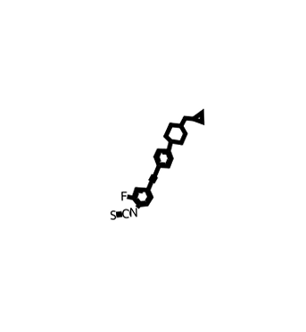 Fc1cc(C#Cc2ccc(C3CCC(CC4CC4)CC3)cc2)ccc1N=C=S